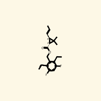 CC=C[C@@H]1[C@@H](C(=O)OCc2c(CC)c(F)cc(F)c2CC)C1(C)C